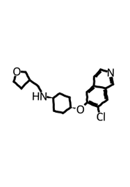 Clc1cc2cnccc2cc1O[C@H]1CC[C@H](NCC2CCOC2)CC1